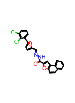 O=C(NN=Cc1ccc(-c2cccc(Cl)c2Cl)o1)c1cc2c(ccc3ccccc32)o1